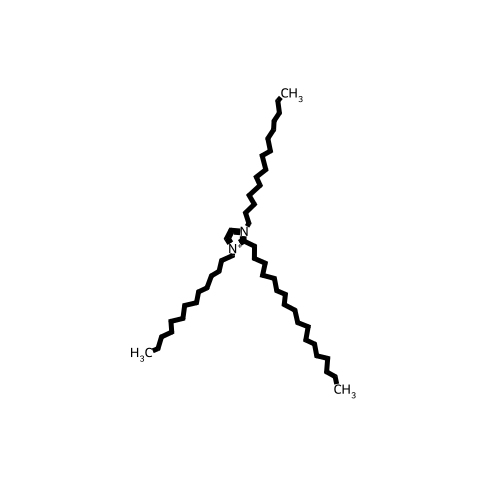 CCCCCCCCCCCCCCCCCCc1n(CCCCCCCCCCCCCCC)cc[n+]1CCCCCCCCCCCCCC